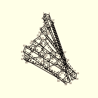 c12c3c4c5c1c1c6c7c2c2c8c3c3c9c4c4c%10c5c5c1c1c6c6c%11c%12c%13c%14c%15c%16c%17c%14c%14c%18c%13c%11c1c1c5c%10c5c(c%14c%10c%17c%11c%13c%16c%14c%16c%15c%12c%12c%16c(c2c7c%126)c2c8c3c(c%13c%142)c2c9c4c5c%10c%112)c%181